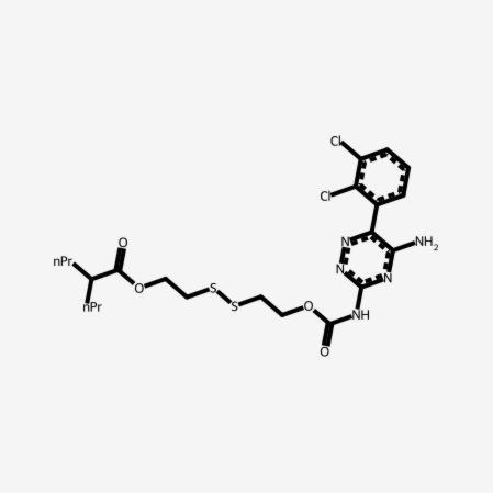 CCCC(CCC)C(=O)OCCSSCCOC(=O)Nc1nnc(-c2cccc(Cl)c2Cl)c(N)n1